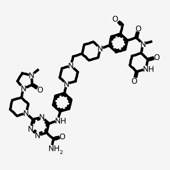 CN1CCN(C2CCCN(c3nnc(C(N)=O)c(Nc4ccc(N5CCN(CC6CCN(c7ccc(C(=O)N(C)C8CCC(=O)NC8=O)c(C=O)c7)CC6)CC5)cc4)n3)C2)C1=O